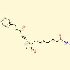 NC(=O)CCCC=CCC1=C(C=CC(O)CCc2ccccc2)CCC1=O